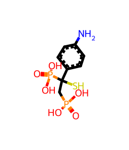 Nc1ccc(C(S)(CP(=O)(O)O)P(=O)(O)O)cc1